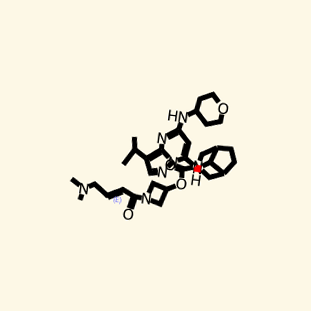 CC(C)c1cnn2c(NC3C4CCC3CN(C(=O)OC3CN(C(=O)/C=C/CN(C)C)C3)C4)cc(NC3CCOCC3)nc12